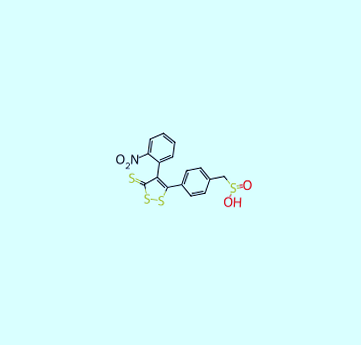 O=[N+]([O-])c1ccccc1-c1c(-c2ccc(CS(=O)O)cc2)ssc1=S